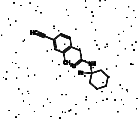 C#Cc1ccc(CC(=O)NC2(CC)CCCCC2)c(C)c1